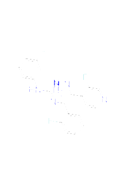 N/C(=C(\N=C(/N)Nc1cccc(F)c1)c1ccccc1F)c1ccncc1F